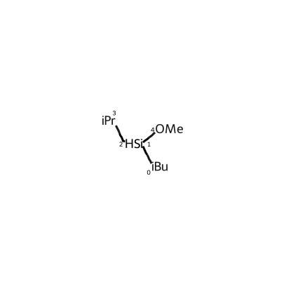 CCC(C)[SiH](CC(C)C)OC